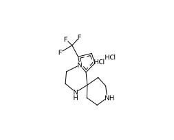 Cl.Cl.FC(F)(F)c1ccc2n1CCNC21CCNCC1